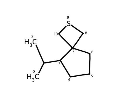 CC(C)C1CCCC12CSC2